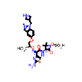 C[n+]1cc2cc(OC[C@@H](O/N=C(\C(=O)N[C@@H]3C(=O)N(OS(=O)(=O)O)C3(C)C)c3csc(N)n3)C(=O)O)ccc2n1CC1CNC1